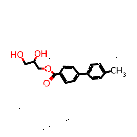 Cc1ccc(-c2ccc(C(=O)OCC(O)CO)cc2)cc1